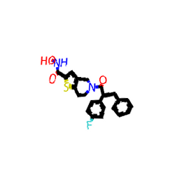 O=C(NO)c1cc2c(s1)CCN(C(=O)C(=Cc1ccccc1)c1ccc(F)cc1)C2